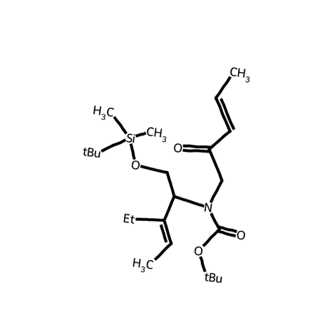 CC=CC(=O)CN(C(=O)OC(C)(C)C)C(CO[Si](C)(C)C(C)(C)C)C(=CC)CC